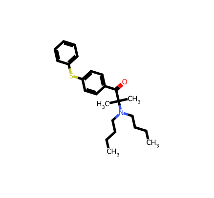 CCCCN(CCCC)C(C)(C)C(=O)c1ccc(Sc2ccccc2)cc1